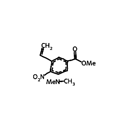 C=Cc1cc(C(=O)OC)ccc1[N+](=O)[O-].CNC